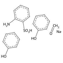 C=O.Nc1ccccc1S(=O)(=O)O.Oc1ccccc1.Oc1ccccc1.[Na]